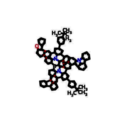 CC(C)(C)c1ccc(-c2cc(-c3ccccc3)c(N3c4cc(-c5ccc6oc7ccccc7c6c5)ccc4B4c5ccc(C6c7ccccc7-c7ccccc76)cc5N(c5c(-c6ccccc6)cc(-c6ccc(C(C)(C)C)cc6)cc5-c5ccccc5)c5cc(-c6ccc7c(c6)c6cccc8c9ccccc9n7c86)cc3c54)c(-c3ccccc3)c2)cc1